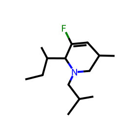 CCC(C)C1C(F)=CC(C)CN1CC(C)C